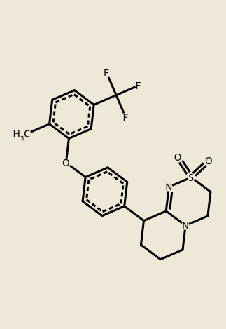 Cc1ccc(C(F)(F)F)cc1Oc1ccc(C2CCCN3CCS(=O)(=O)N=C23)cc1